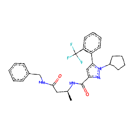 C[C@@H](CC(=O)NCc1ccccc1)NC(=O)c1cc(-c2ccccc2C(F)(F)F)n(C2CCCC2)n1